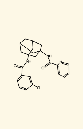 O=C(NC12CC3CC(C1)CC(NC(=O)c1ccccn1)(C3)C2)c1cccc(Cl)c1